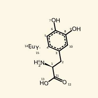 N[C@@H](Cc1ccc(O)c(O)c1)C(=O)O.[Eu].[Y]